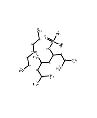 CC(C)CC(C)CC(CC(C)C)OP(=O)(O)O.OCCNCCO